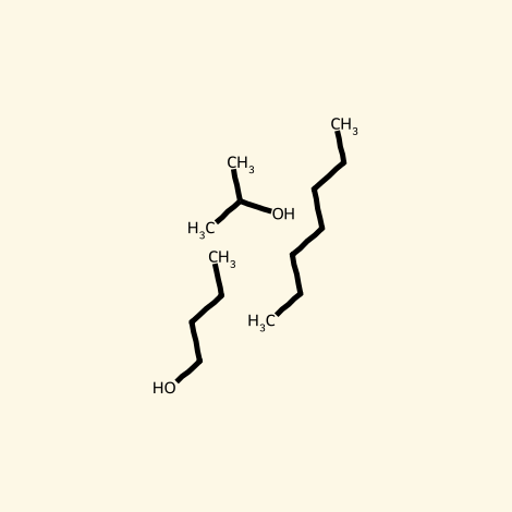 CC(C)O.CCCCCCC.CCCCO